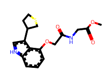 COC(=O)CNC(=O)COc1cccc2[nH]cc(C3CCSC3)c12